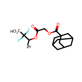 CC(C)C(OC(=O)COC(=O)C12CC3CC(CC(C3)C1)C2)C(F)(F)C(=O)O